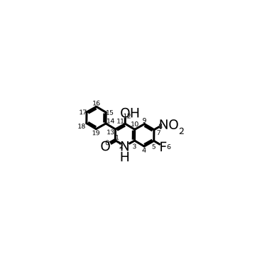 O=c1[nH]c2cc(F)c([N+](=O)[O-])cc2c(O)c1-c1ccccc1